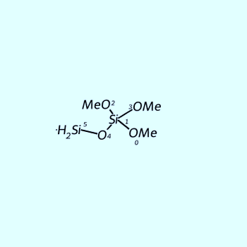 CO[Si](OC)(OC)O[SiH2]